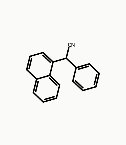 N#CC(c1[c]cccc1)c1cccc2ccccc12